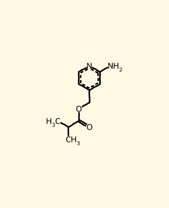 CC(C)C(=O)OCc1ccnc(N)c1